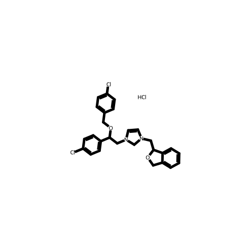 Cl.Clc1ccc(COC(CN2C=CN(CC3OCc4ccccc43)C2)c2ccc(Cl)cc2)cc1